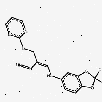 N=N/C(=C\Nc1ccc2c(c1)OC(F)(F)O2)COc1ncccn1